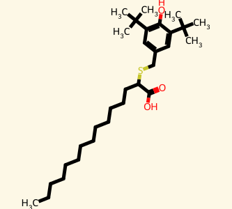 CCCCCCCCCCCCCC(SCc1cc(C(C)(C)C)c(O)c(C(C)(C)C)c1)C(=O)O